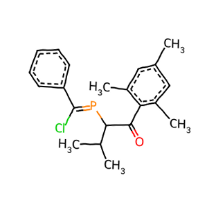 Cc1cc(C)c(C(=O)C(P=C(Cl)c2ccccc2)C(C)C)c(C)c1